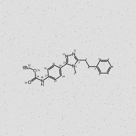 Cn1c(CCc2ccccc2)nnc1-c1ccc(NC(=O)OC(C)(C)C)cc1